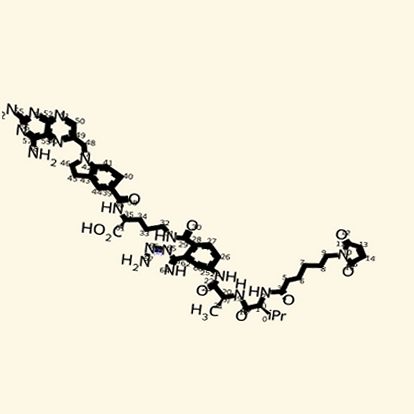 CC(C)[C@H](NC(=O)CCCCCN1C(=O)C=CC1=O)C(=O)N[C@@H](C)C(=O)Nc1ccc(C(=O)NCCC[C@H](NC(=O)c2ccc3c(c2)CCN3Cc2cnc3nc(N)nc(N)c3n2)C(=O)O)c(C(=N)/N=N\N)c1